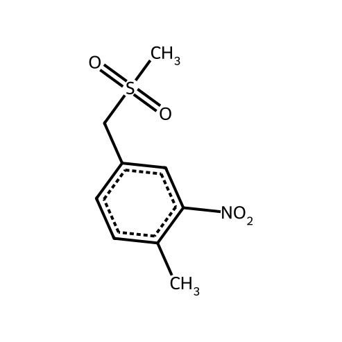 Cc1ccc(CS(C)(=O)=O)cc1[N+](=O)[O-]